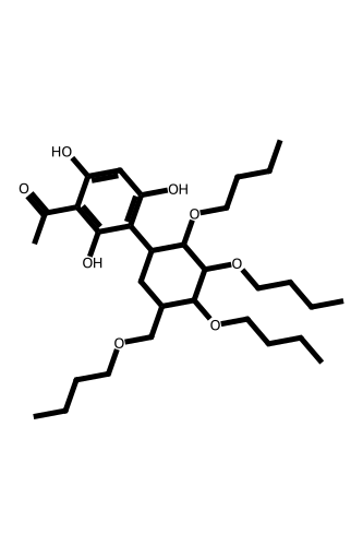 CCCCOCC1CC(c2c(O)cc(O)c(C(C)=O)c2O)C(OCCCC)C(OCCCC)C1OCCCC